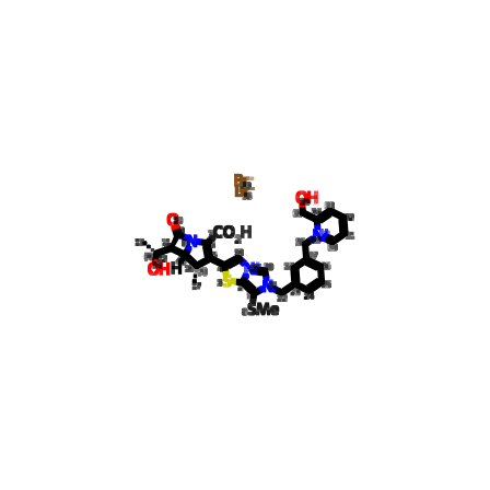 CSc1c2sc(C3=C(C(=O)O)N4C(=O)[C@H]([C@@H](C)O)[C@H]4[C@H]3C)c[n+]2cn1Cc1cccc(C[n+]2ccccc2CO)c1.[Br-].[Br-]